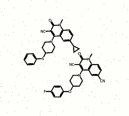 Cn1c(=O)c(C#N)c(N2CCC(Oc3ccc(F)cc3)CC2)c2cc(C#N)ccc21.Cn1c(=O)c(C#N)c(N2CCC(Sc3ccccc3)CC2)c2cc(C3CC3)ccc21